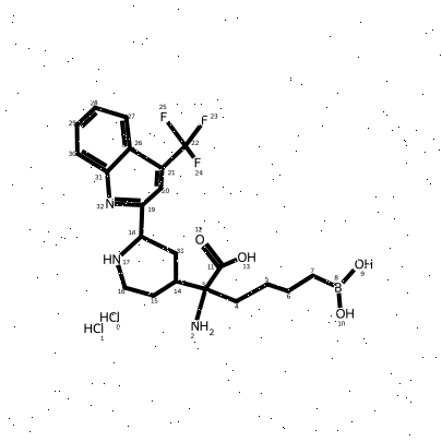 Cl.Cl.NC(CCCCB(O)O)(C(=O)O)C1CCNC(c2cc(C(F)(F)F)c3ccccc3n2)C1